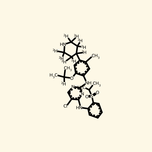 [2H]C(C)(C)Oc1cc(C2([2H])C([2H])([2H])C([2H])([2H])NC([2H])([2H])C2([2H])[2H])c(C)cc1Nc1ncc(Cl)c(Nc2ccccc2S(=O)(=O)C(C)C)n1